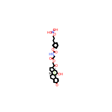 C[C@]12C[C@H](O)C3(F)[C@@H](CCC4=CC(=O)C=C[C@@]43C)C1CCC2C(=O)COC(=O)CNC(=O)Oc1cccc(CCCON(O)O)c1